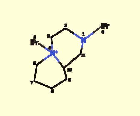 CC(C)N1CC[N+]2(C(C)C)CCCCC2C1